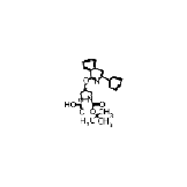 CC(C)(C)OC(=O)N1C[C@H](Oc2nc(-c3ccccc3)cc3ccccc23)C[C@H]1C(=O)O